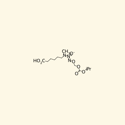 CC(C)OC(=O)OCON=[N+]([O-])N(C)CCCCCC(=O)O